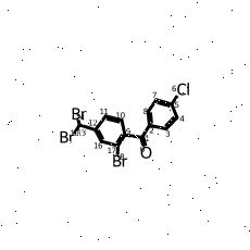 O=C(c1ccc(Cl)cc1)c1ccc(C(Br)Br)cc1Br